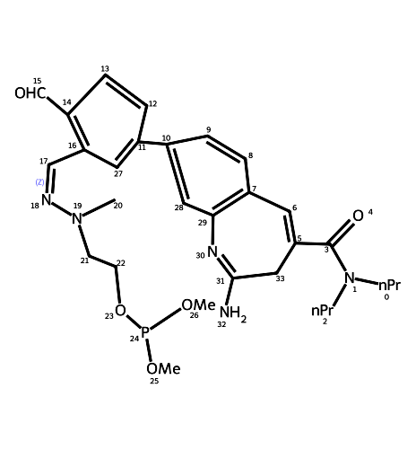 CCCN(CCC)C(=O)C1=Cc2ccc(-c3ccc(C=O)c(/C=N\N(C)CCOP(OC)OC)c3)cc2N=C(N)C1